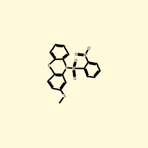 CSc1ccc2c(c1)N(S(=O)(=O)c1ccccc1[N+](=O)[O-])c1ccccc1S2